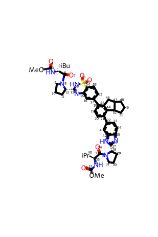 CC[C@H](C)[C@H](NC(=O)OC)C(=O)N1CCC[C@H]1C1=Nc2cc(-c3ccc(-c4ccc5nc([C@@H]6CCCN6C(=O)[C@@H](NC(=O)OC)C(C)C)[nH]c5c4)c4c3CC3CCCC43)ccc2S(=O)(=O)N1